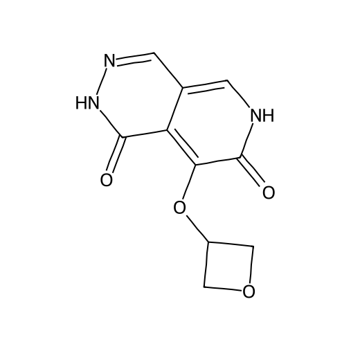 O=c1[nH]cc2cn[nH]c(=O)c2c1OC1COC1